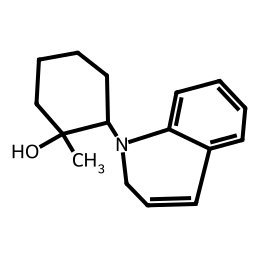 CC1(O)CCCCC1N1CC=Cc2ccccc21